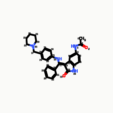 CC(=O)Nc1ccc2c(c1)C(=C(Nc1ccc(CN3CCCCC3)cc1)c1ccccc1)C(=O)N2